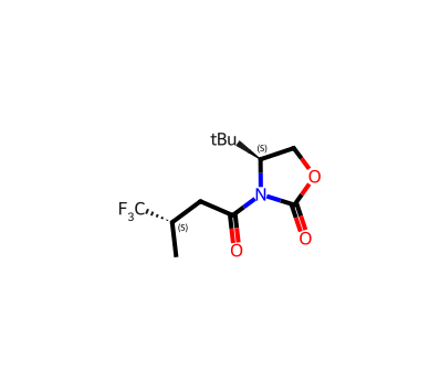 C[C@@H](CC(=O)N1C(=O)OC[C@@H]1C(C)(C)C)C(F)(F)F